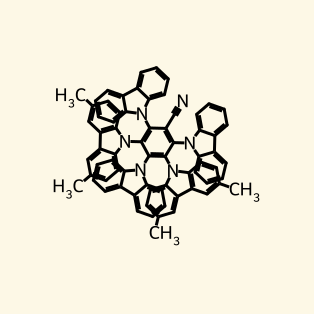 Cc1ccc2c(c1)c1cc(C)ccc1n2-c1c(-n2c3ccccc3c3ccccc32)c(C#N)c(-n2c3ccccc3c3ccccc32)c(-n2c3ccc(C)cc3c3cc(C)ccc32)c1-n1c2ccccc2c2ccccc21